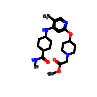 CC(C)NC(=O)[C@H]1CC[C@@H](Nc2cc(OC3CCN(CC(=O)OC(C)(C)C)CC3)ncc2[N+](=O)[O-])CC1